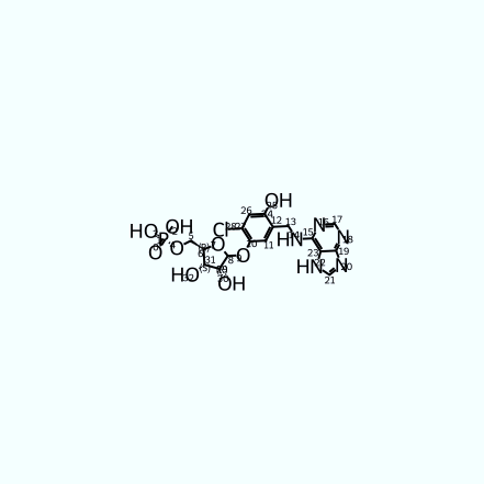 O=P(O)(O)OC[C@H]1OC(Oc2cc(CNc3ncnc4nc[nH]c34)c(O)cc2Cl)[C@H](O)[C@@H]1O